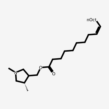 CCCCCCCC/C=C\CCCCCCCC(=O)OCC1CN(C)C[C@H]1C